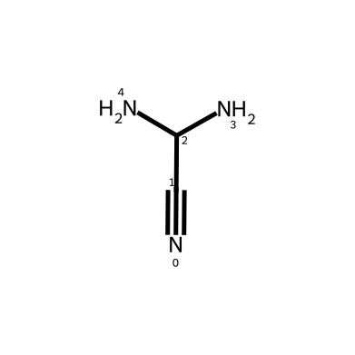 N#CC(N)N